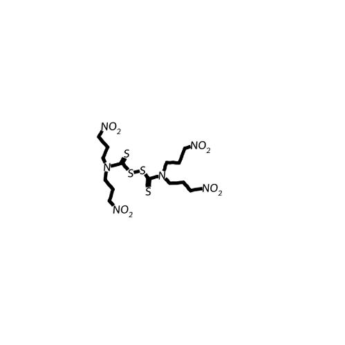 O=[N+]([O-])CCCN(CCC[N+](=O)[O-])C(=S)SSC(=S)N(CCC[N+](=O)[O-])CCC[N+](=O)[O-]